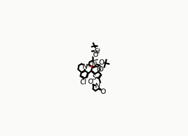 CC(C)(C)OC(=O)N1C[C@@H](N2CCCc3cc(Cl)cc(-c4ccnc5cc(CN6C(=O)CCC6=O)sc45)c32)C[C@]1(C)CO[Si](C)(C)C(C)(C)C